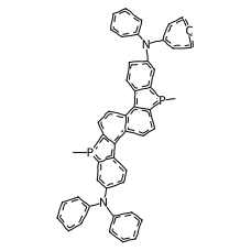 Cp1c2cc(N(c3ccccc3)c3ccccc3)ccc2c2c3ccc4c(c3ccc21)c1ccc(N(c2ccccc2)c2ccccc2)cc1p4C